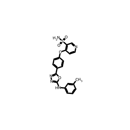 Cc1cccc(Nc2nnc(-c3ccc(Oc4ccncc4S(N)(=O)=O)cc3)o2)c1